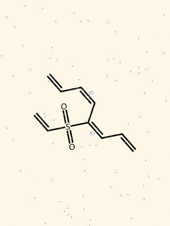 C=C/C=C\C(=C/C=C)S(=O)(=O)C=C